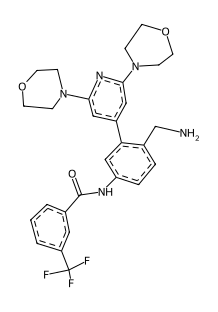 NCc1ccc(NC(=O)c2cccc(C(F)(F)F)c2)cc1-c1cc(N2CCOCC2)nc(N2CCOCC2)c1